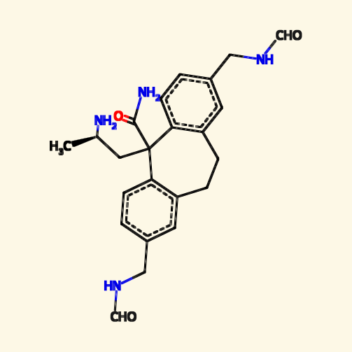 C[C@@H](N)CC1(C(N)=O)c2ccc(CNC=O)cc2CCc2cc(CNC=O)ccc21